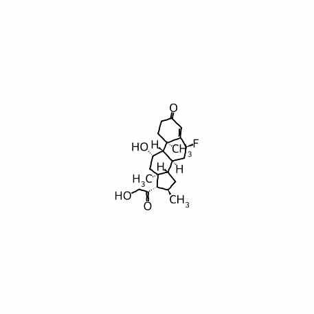 C[C@@H]1C[C@H]2[C@@H]3C[C@H](F)C4=CC(=O)CC[C@]4(C)[C@H]3[C@@H](O)C[C@]2(C)[C@H]1C(=O)CO